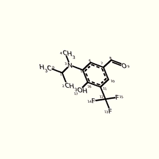 CC(C)N(C)c1cc(C=O)cc(C(F)(F)F)c1O